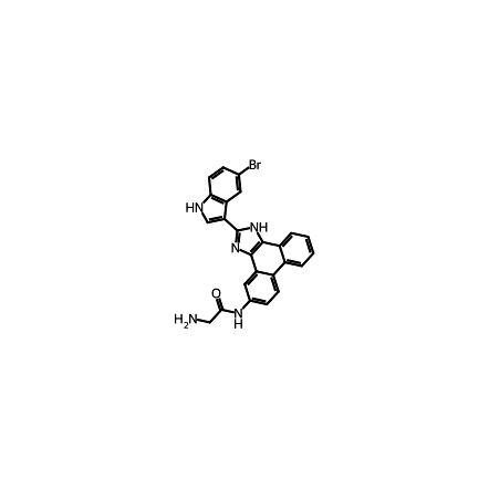 NCC(=O)Nc1ccc2c3ccccc3c3[nH]c(-c4c[nH]c5ccc(Br)cc45)nc3c2c1